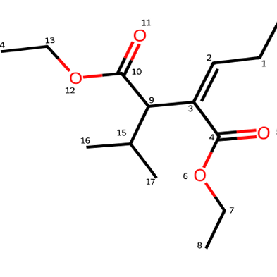 CCC=C(C(=O)OCC)C(C(=O)OCC)C(C)C